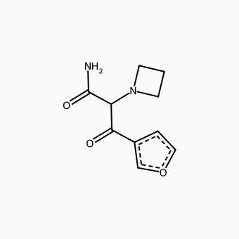 NC(=O)C(C(=O)c1ccoc1)N1CCC1